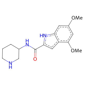 COc1cc(OC)c2cc(C(=O)NC3CCCNC3)[nH]c2c1